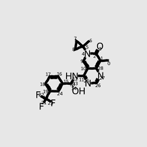 Cc1c(=O)n(C2(C)CC2)cc2c(N[C@H](O)c3cccc(C(F)(F)F)c3)ncnc12